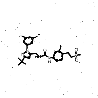 CC(C)(C)c1cc(CNC(=O)Nc2ccc(CCS(C)(=O)=O)c(F)c2)n(-c2cc(F)cc(F)c2)n1